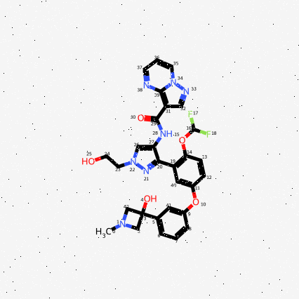 CN1CC(O)(c2cccc(Oc3ccc(OC(F)F)c(-c4nn(CCO)cc4NC(=O)c4cnn5cccnc45)c3)c2)C1